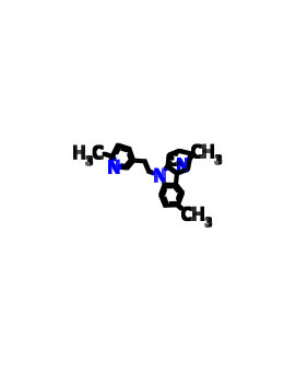 Cc1ccc2c(c1)C1C3CCC(CN3C)C1N2CCc1ccc(C)nc1